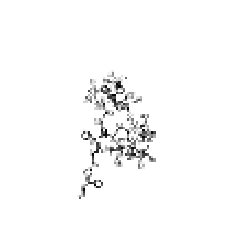 C=CC(=O)OCCNC(=O)N(CCC[Si](O[Si](C)(C)C)(O[Si](C)(C)C)O[Si](C)(C)C)CCC[Si](O[Si](C)(C)C)(O[Si](C)(C)C)O[Si](C)(C)C